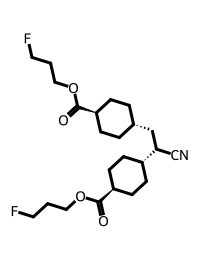 N#CC(C[C@H]1CC[C@H](C(=O)OCCCF)CC1)[C@H]1CC[C@H](C(=O)OCCCF)CC1